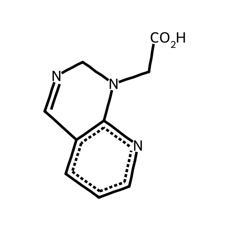 O=C(O)CN1CN=Cc2cccnc21